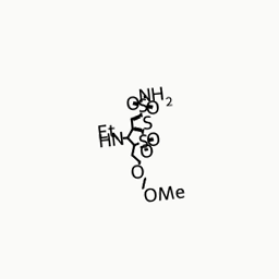 CCNC1c2cc(S(N)(=O)=O)sc2S(=O)(=O)C1CCOCCOC